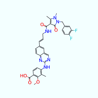 COc1c(C(=O)O)ccc(Nc2ncc3cc(C=CCNC(=O)c4c(C)n(C)n(Cc5ccc(F)c(F)c5)c4=O)ccc3n2)c1C